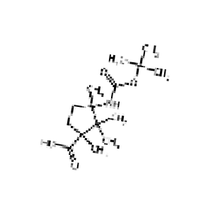 CC(C)(C)OC(=O)N[C@@]1(C)CC[C@@](C)(C(=O)O)C1(C)C